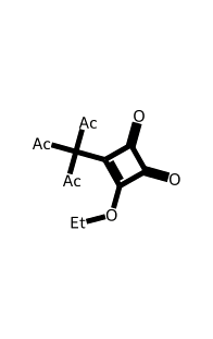 CCOc1c(C(C(C)=O)(C(C)=O)C(C)=O)c(=O)c1=O